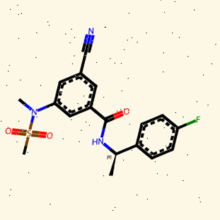 C[C@@H](NC(=O)c1cc(C#N)cc(N(C)S(C)(=O)=O)c1)c1ccc(F)cc1